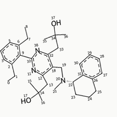 CCc1cccc(CC)c1-c1nc(CC(C)(C)O)c(CN(C)[C@H]2CCCc3ccccc32)c(CC(C)(C)O)n1